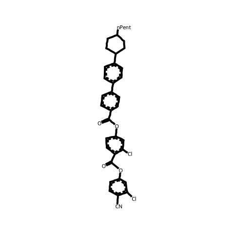 CCCCCC1CCC(c2ccc(-c3ccc(C(=O)Oc4ccc(C(=O)Oc5ccc(C#N)c(Cl)c5)c(Cl)c4)cc3)cc2)CC1